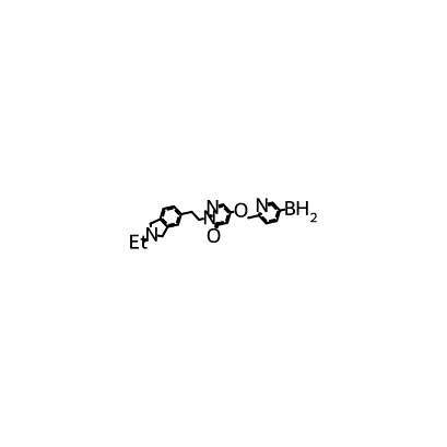 Bc1ccc(COc2cnn(CCc3ccc4c(c3)CN(CC)C4)c(=O)c2)nc1